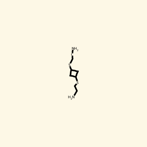 NCCSC1CC(SCCN)C1